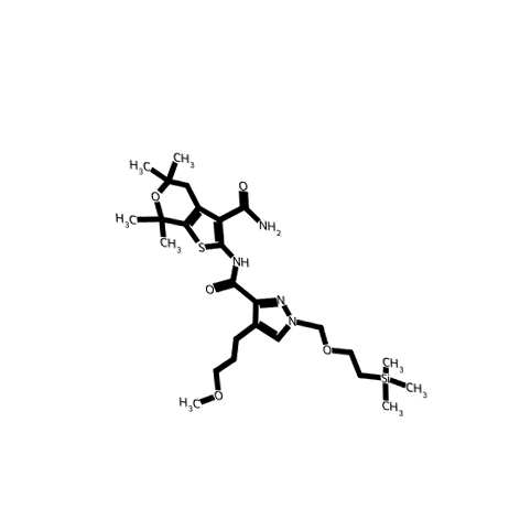 COCCCc1cn(COCC[Si](C)(C)C)nc1C(=O)Nc1sc2c(c1C(N)=O)CC(C)(C)OC2(C)C